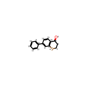 O=C1CCSc2cc(-c3ccccc3)ccc21